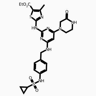 CCOC(=O)c1sc(Nc2nc(NCc3ccc(NS(=O)(=O)C4CC4)cc3)cc(N3CCNC(=O)C3)n2)nc1C